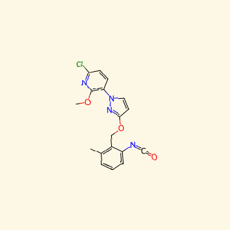 COc1nc(Cl)ccc1-n1ccc(OCc2c(C)cccc2N=C=O)n1